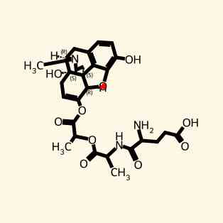 CC(NC(=O)C(N)CCC(=O)O)C(=O)OC(C)C(=O)OC1=CC[C@@]2(O)[C@H]3Cc4ccc(O)c5c4[C@@]2(CCN3C)[C@H]1O5